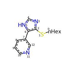 CCCCCCSc1nc[nH]c1-c1cccnc1